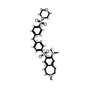 CN1CCc2cc(N(C)C)c(S(=O)(=O)c3ccc(Cc4ccc(S(=O)(=O)N5CCOCC5)cc4)cc3)cc2CC1